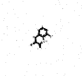 O=C1Nc2c(F)cccc2CC1F